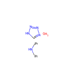 CC(C)NC(C)C.O.c1nnn[nH]1